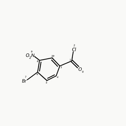 O=C(Cl)c1ccc(Br)c([N+](=O)[O-])c1